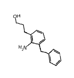 Nc1c(CCCO)cccc1Cc1ccccc1